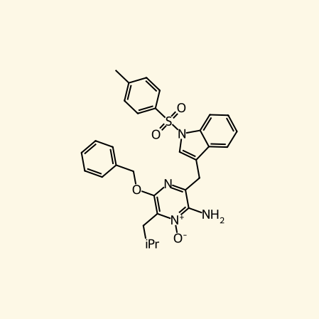 Cc1ccc(S(=O)(=O)n2cc(Cc3nc(OCc4ccccc4)c(CC(C)C)[n+]([O-])c3N)c3ccccc32)cc1